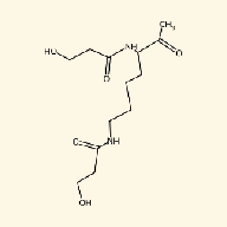 CC(=O)C(CCCCNC(=O)CCO)NC(=O)CCO